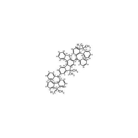 CC1(C)c2cc(N(c3ccccc3)c3ccnc4c3-c3ccccc3C4(C)C)ccc2-c2c1cc(N(c1ccccc1)c1ccnc3c1-c1ccccc1C3(C)C)c1sc3ccccc3c21